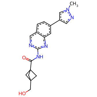 Cn1cc(-c2ccc3cnc(NC(=O)C45CC(CO)(C4)C5)nc3c2)cn1